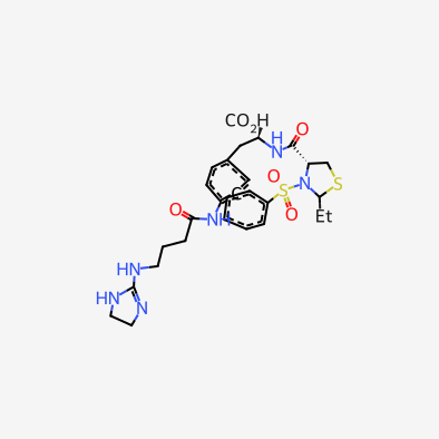 CCC1SC[C@@H](C(=O)N[C@@H](Cc2ccc(NC(=O)CCCNC3=NCCN3)cc2)C(=O)O)N1S(=O)(=O)c1ccccc1